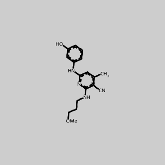 COCCCNc1nc(Nc2cccc(O)c2)cc(C)c1C#N